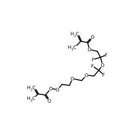 C=C(C)C(=O)OCC(F)(F)OC(F)(F)COCOCCOOC(=O)C(=C)C